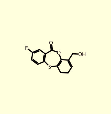 O=C1OC2=C(CCC=C2CO)Sc2ccc(F)cc21